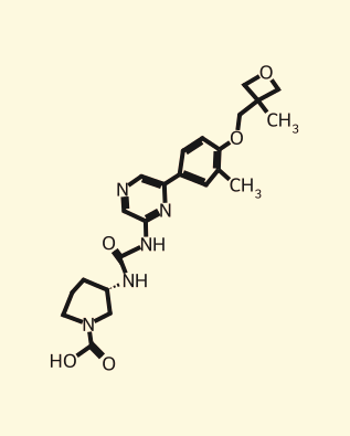 Cc1cc(-c2cncc(NC(=O)N[C@H]3CCCN(C(=O)O)C3)n2)ccc1OCC1(C)COC1